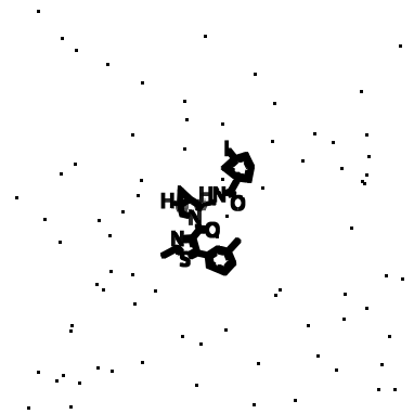 Cc1cccc(-c2sc(C)nc2C(=O)N2C[C@@H]3CC3[C@H]2CNC(=O)c2cccc(I)c2)c1